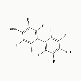 CCCCc1c(F)c(F)c(-c2c(F)c(F)c(O)c(F)c2F)c(F)c1F